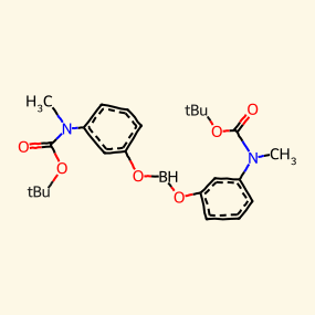 CN(C(=O)OC(C)(C)C)c1cccc(OBOc2cccc(N(C)C(=O)OC(C)(C)C)c2)c1